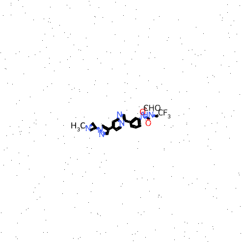 CN1CC(n2cc(-c3ccn4c(-c5cccc(N(OC=O)C(=O)NCC(F)(F)F)c5)cnc4c3)cn2)C1